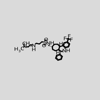 CN(C)CCNCCCS(=O)(=O)NC[C@H]1CC[C@@H]2[C@H](CC1)c1cc(C(F)(F)F)ccc1N[C@H]2c1ccccc1